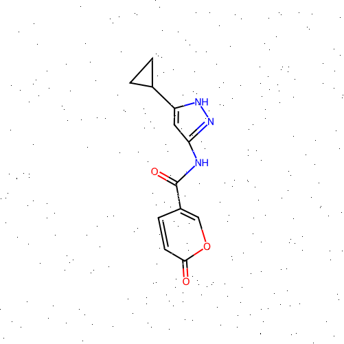 O=C(Nc1cc(C2CC2)[nH]n1)c1ccc(=O)oc1